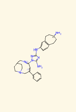 Nc1nc(Nc2ccc3c(c2)CC[C@@H](N)CC3)nn1C1=N/CC2CCN(CC2)C/C(c2ccccc2)=C\1